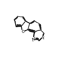 c1ccc2c(c1)oc1c2ccc2cncnc21